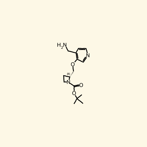 CC(C)(C)OC(=O)N1CC[C@@H]1COc1cnccc1CN